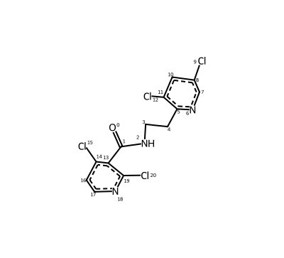 O=C(NCCc1ncc(Cl)cc1Cl)c1c(Cl)ccnc1Cl